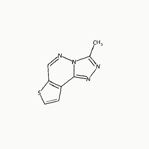 Cc1nnc2c3ccsc3cnn12